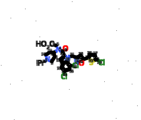 CC(C)N1CCC(N(CC(=O)O)C(=O)c2cc3cc(Cl)cc(Cl)c3n2Cc2cc(-c3ccc(Cl)s3)on2)CC1